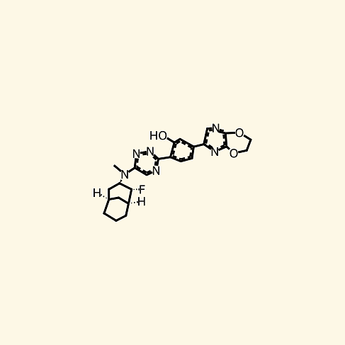 CN(c1cnc(-c2ccc(-c3cnc4c(n3)OCCO4)cc2O)nn1)[C@H]1C[C@@H]2CCC[C@@H](C2)[C@H]1F